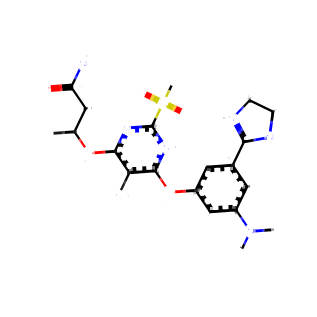 CN(C)c1cc(Oc2nc(S(C)(=O)=O)nc(OC(CC(N)=O)C(=O)O)c2[N+](=O)[O-])cc(C2=NCCN2)c1